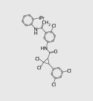 C=C(Nc1ccccc1C(C)C)c1cc(NC(=O)C2C(c3cc(Cl)cc(Cl)c3)C2(Cl)Cl)ccc1Cl